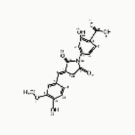 COc1cc(/C=C2\SC(=O)N(c3ccc(C(=O)O)c(O)c3)C2=O)ccc1O